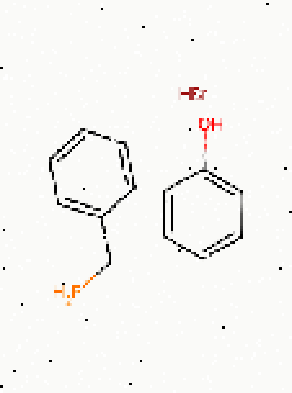 Br.Oc1ccccc1.PCc1ccccc1